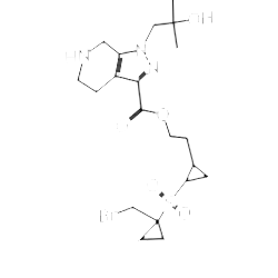 CC(C)(O)Cn1nc(C(=O)OCCC2CC2S(=O)(=O)C2(CBr)CC2)c2c1CNCC2